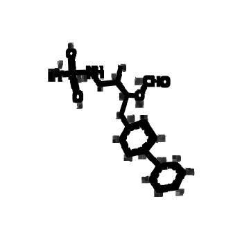 CC(CNS(=O)(=O)C(C)C)C(Cc1ccc(-c2ccccc2)cc1)OC=O